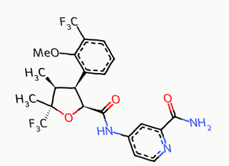 COc1c([C@H]2[C@@H](C(=O)Nc3ccnc(C(N)=O)c3)O[C@](C)(C(F)(F)F)[C@H]2C)cccc1C(F)(F)F